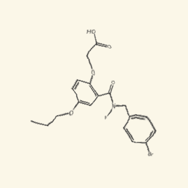 CCCOc1ccc(OCC(=O)O)c(C(=O)N(F)Cc2ccc(Br)cc2)c1